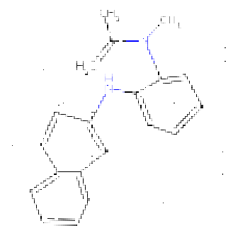 C=C(C)N(C)c1ccccc1Nc1ccc2ccccc2c1